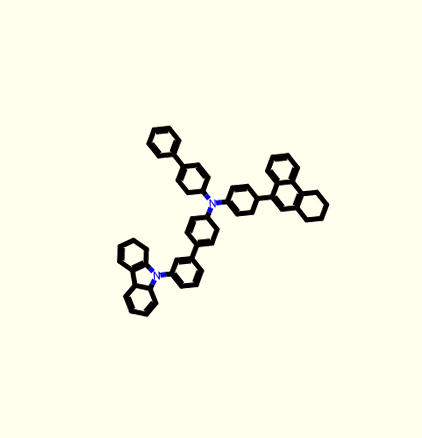 C1=CC2C3=C(CCC=C3)N(c3cccc(C4=CCC(N(C5=CCC(c6cc7c(c8ccccc68)CCCC7)C=C5)C5C=CC(c6ccccc6)=CC5)C=C4)c3)C2C=C1